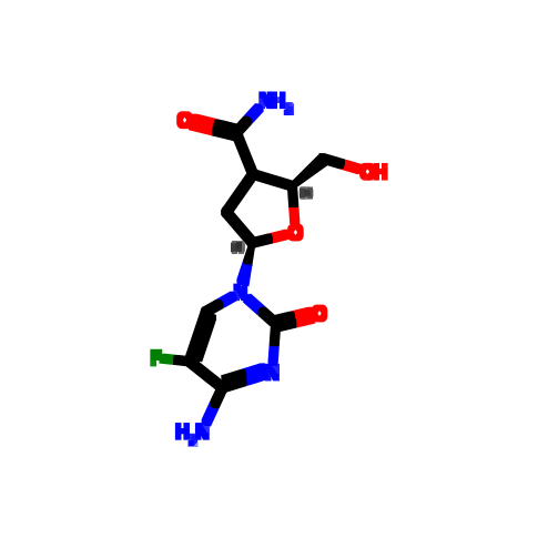 NC(=O)C1C[C@H](n2cc(F)c(N)nc2=O)O[C@@H]1CO